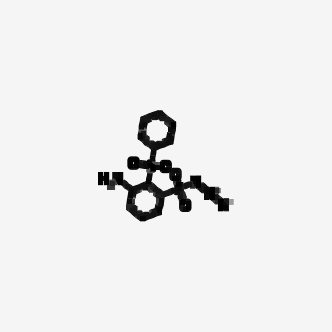 [N-]=[N+]=NS(=O)(=O)c1cccc(N)c1S(=O)(=O)c1ccccc1